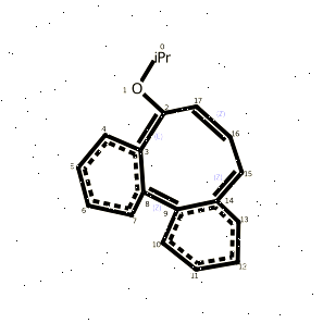 CC(C)OC1=c2\cccc\c2=c2/cccc/c2=C/C=C\1